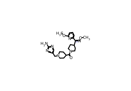 CO/N=C(\c1cccc(OC)n1)C1CCN(C(=O)C2CCN(Cc3cnc(N)nc3)CC2)CC1